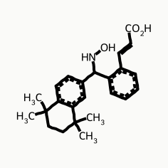 CC1(C)CCC(C)(C)c2cc(C(NO)c3ccccc3C=CC(=O)O)ccc21